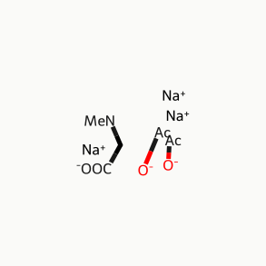 CC(=O)[O-].CC(=O)[O-].CNCC(=O)[O-].[Na+].[Na+].[Na+]